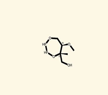 CO[C@@H]1COPPO[C@@]1(C)CO